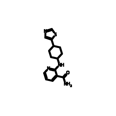 NC(=O)c1cccnc1NC1CCC(c2cncs2)CC1